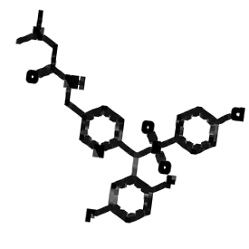 CN(C)CC(=O)NCc1ccc(C(c2cc(F)ccc2F)S(=O)(=O)c2ccc(Cl)cc2)nc1